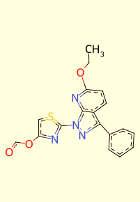 CCOc1ccc2c(-c3ccccc3)nn(-c3nc(OC=O)cs3)c2n1